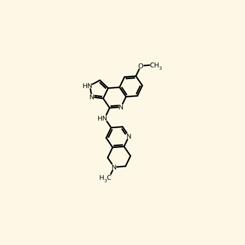 COc1ccc2nc(Nc3cnc4c(c3)CN(C)CC4)c3n[nH]cc3c2c1